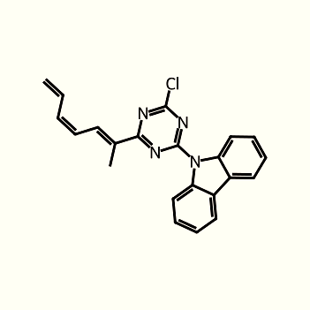 C=C/C=C\C=C(/C)c1nc(Cl)nc(-n2c3ccccc3c3ccccc32)n1